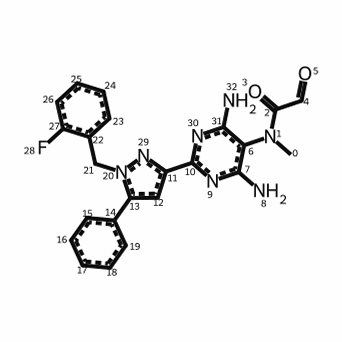 CN(C(=O)C=O)c1c(N)nc(-c2cc(-c3ccccc3)n(Cc3ccccc3F)n2)nc1N